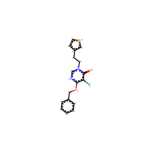 O=c1c(Br)c(OCc2ccccc2)ncn1CCc1ccsc1